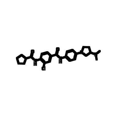 CN(C)C1CCN(c2ccc(NC(=O)c3ccc(NC(=O)C4CCCC4)c(Cl)c3)cc2)C1